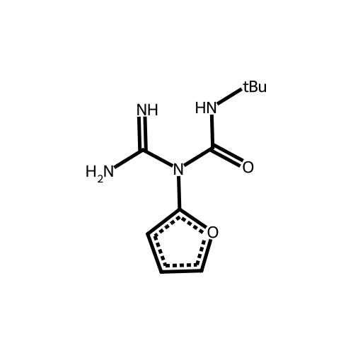 CC(C)(C)NC(=O)N(C(=N)N)c1ccco1